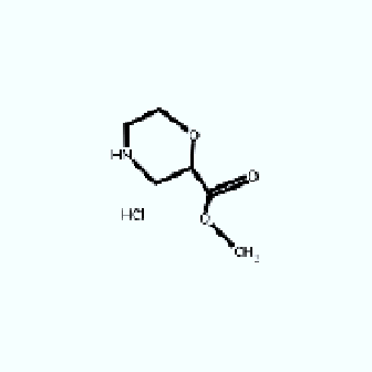 COC(=O)C1CNCCO1.Cl